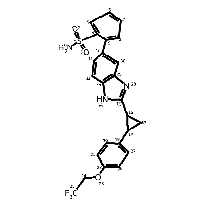 NS(=O)(=O)c1ccccc1-c1ccc2[nH]c(C3CC3c3ccc(OCC(F)(F)F)cc3)nc2c1